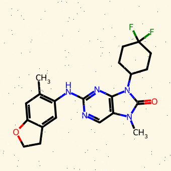 Cc1cc2c(cc1Nc1ncc3c(n1)n(C1CCC(F)(F)CC1)c(=O)n3C)CCO2